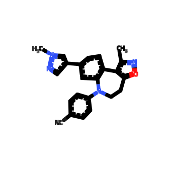 Cc1noc2c1-c1ccc(-c3cnn(C)c3)cc1N(c1ccc(C#N)cc1)CC2